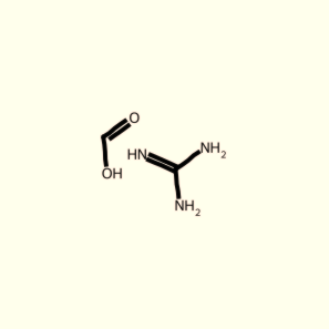 N=C(N)N.O=CO